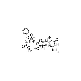 CC(C)OC(=O)[C@@H](C)N[P@](=O)(OC[C@H]1O[C@@H](n2cnc3c(=O)[nH]c(N)nc32)[C@](F)(Cl)[C@@H]1O)Oc1ccccc1